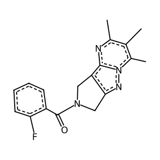 Cc1nc2c3c(nn2c(C)c1C)CN(C(=O)c1ccccc1F)C3